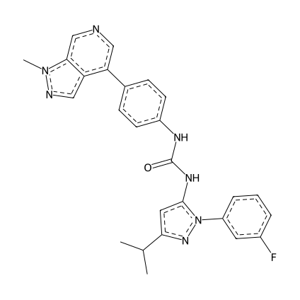 CC(C)c1cc(NC(=O)Nc2ccc(-c3cncc4c3cnn4C)cc2)n(-c2cccc(F)c2)n1